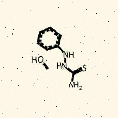 CO.NC(=S)NNc1ccccc1